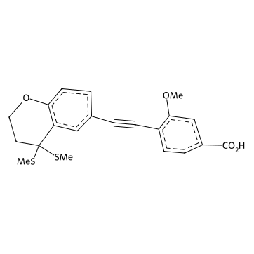 COc1cc(C(=O)O)ccc1C#Cc1ccc2c(c1)C(SC)(SC)CCO2